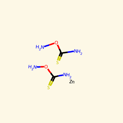 NOC(N)=S.NOC(N)=S.[Zn]